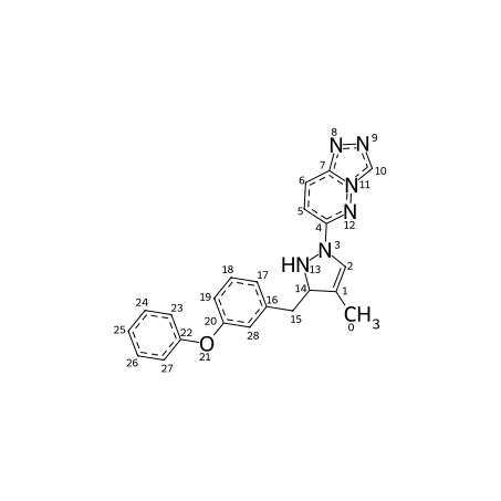 CC1=CN(c2ccc3nncn3n2)NC1Cc1cccc(Oc2ccccc2)c1